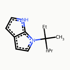 CCCC(C)(CC)n1ccc2cc[nH]c21